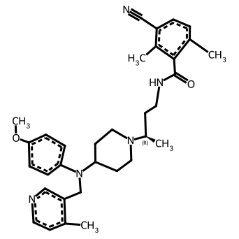 COc1ccc(N(Cc2cnccc2C)C2CCN([C@H](C)CCNC(=O)c3c(C)ccc(C#N)c3C)CC2)cc1